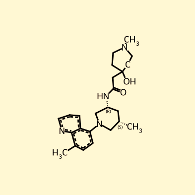 Cc1ccc(N2C[C@@H](C)C[C@@H](NC(=O)CC3(O)CCN(C)CC3)C2)c2cccnc12